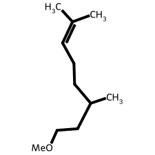 COCCC(C)CCC=C(C)C